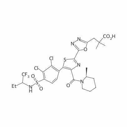 CCC(NS(=O)(=O)c1ccc(-c2sc(-c3nnc(CC(C)(C)C(=O)O)o3)nc2C(=O)N2CCCC[C@@H]2C)c(Cl)c1Cl)C(F)(F)F